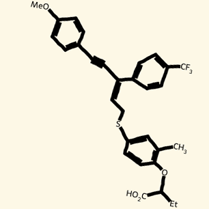 CCC(Oc1ccc(SCC=C(C#Cc2ccc(OC)cc2)c2ccc(C(F)(F)F)cc2)cc1C)C(=O)O